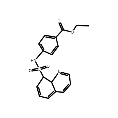 CCOC(=O)c1ccc(NS(=O)(=O)C2C=CC=C3C=CC=NC32)cc1